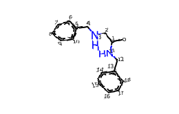 [CH2]C(CNCc1ccccc1)NCc1ccccc1